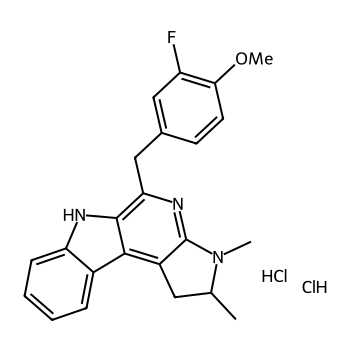 COc1ccc(Cc2nc3c(c4c2[nH]c2ccccc24)CC(C)N3C)cc1F.Cl.Cl